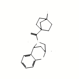 C[C@@]12C[C@@H](c3ccccc3O1)N(C(=O)C13CCC(F)(CC1)C3)C2